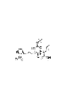 CC[C@H](C)[C@H](NC(=O)[C@H](CCCn1ccnc1[N+](=O)[O-])NC(=O)OC(C)(C)C)C(=O)NC